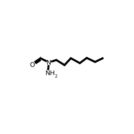 CCCCCCCN(N)[C]=O